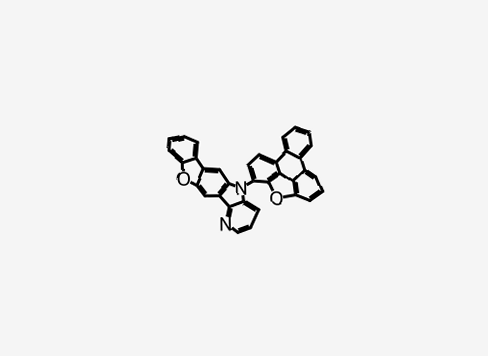 c1ccc2c(c1)oc1cc3c4ncccc4n(-c4ccc5c6ccccc6c6cccc7oc4c5c76)c3cc12